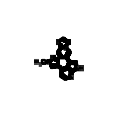 Cn1cc(-c2ccnc3[nH]cc(-c4ccc5ncnn5c4)c23)cn1